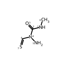 CNC(=O)N(N)C=S